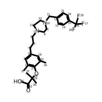 Cc1cc(CCCN2CCN(Cc3ccc(C(F)(F)F)cc3)CC2)cc(C)c1OC(C)(C)C(=O)O